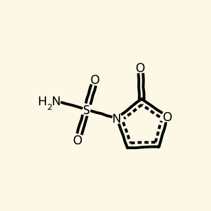 NS(=O)(=O)n1ccoc1=O